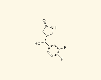 O=C1CC(C(O)c2ccc(F)c(F)c2)CN1